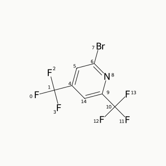 FC(F)(F)c1cc(Br)nc(C(F)(F)F)c1